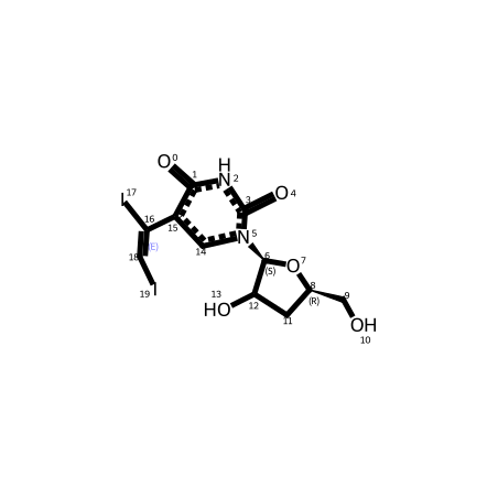 O=c1[nH]c(=O)n([C@H]2O[C@@H](CO)CC2O)cc1/C(I)=C\I